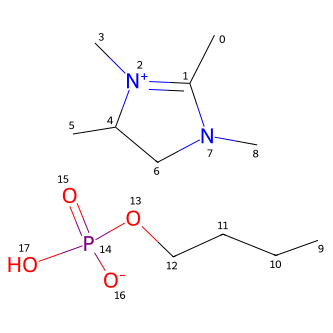 CC1=[N+](C)C(C)CN1C.CCCCOP(=O)([O-])O